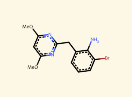 COc1cc(OC)nc(Cc2cccc(Br)c2N)n1